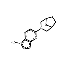 Cn1ncc2nc(N3CC4CCC(C3)O4)ccc21